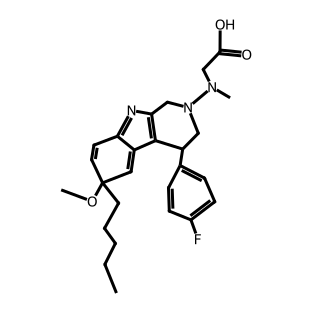 CCCCCC1(OC)C=CC2=NC3=C(C2=C1)C(c1ccc(F)cc1)CN(N(C)CC(=O)O)C3